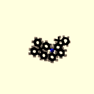 CC1(C)C2=C(C=CCC2)c2ccc(N(c3cccc(C4(c5ccccc5)c5ccccc5-c5ccccc54)c3)c3ccccc3-c3ccccc3)cc21